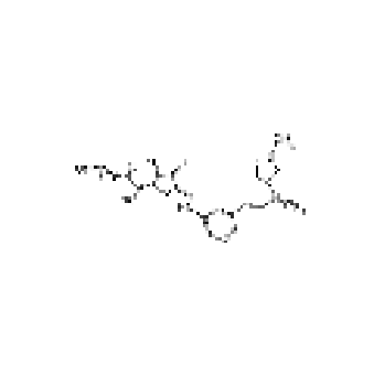 CCn1c(=C(C#N)C(=O)NCC#N)sc(=CNc2cccc(CCN(C)C3CCN(C)C3)c2)c1=O